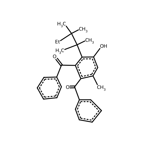 CCC(C)(C)C(C)(C)c1c(O)cc(C)c(C(=O)c2ccccc2)c1C(=O)c1ccccc1